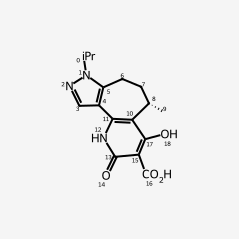 CC(C)n1ncc2c1CC[C@H](C)c1c-2[nH]c(=O)c(C(=O)O)c1O